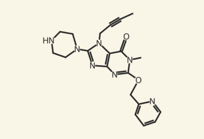 CC#CCn1c(N2CCNCC2)nc2nc(OCc3ccccn3)n(C)c(=O)c21